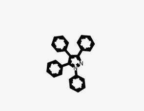 c1ccc(-c2nn(-c3ccccc3)c(-c3ccccc3)c2-c2ccccc2)cc1